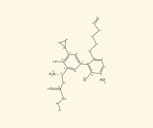 C=CCCCCc1cccc(Cl)c1-c1cc(C2CC2)c(F)c([C@@H](N)CC(=O)OCC)c1.Cl